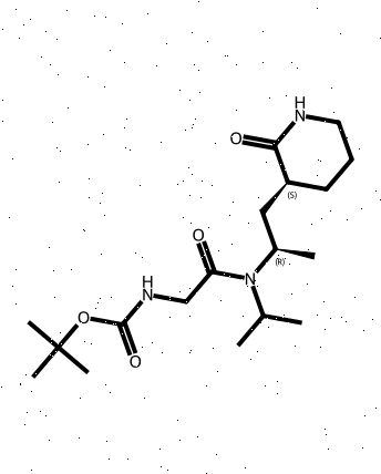 CC(C)N(C(=O)CNC(=O)OC(C)(C)C)[C@H](C)C[C@@H]1CCCNC1=O